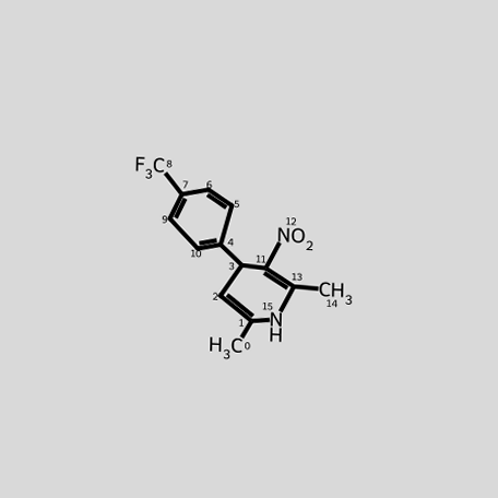 CC1=CC(c2ccc(C(F)(F)F)cc2)C([N+](=O)[O-])=C(C)N1